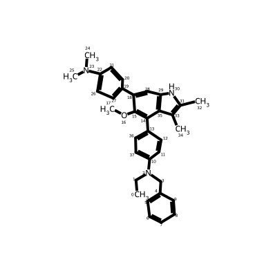 CCN(Cc1ccccc1)c1ccc(-c2c(OC)c(-c3ccc(N(C)C)cc3)cc3[nH]c(C)c(C)c23)cc1